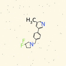 Cc1cncc(-c2ccc(CN3CCC(F)(F)C3)cc2)c1